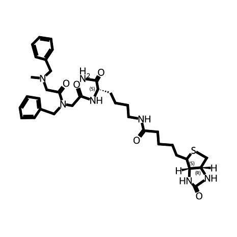 CN(CC(=O)N(CC(=O)N[C@@H](CCCCNC(=O)CCCCC1SC[C@@H]2NC(=O)N[C@H]12)C(N)=O)Cc1ccccc1)Cc1ccccc1